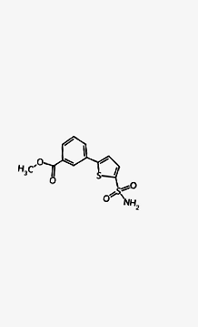 COC(=O)c1cccc(-c2ccc(S(N)(=O)=O)s2)c1